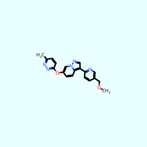 COCc1ccc(-c2cnn3cc(Oc4ccc(C)nn4)ccc23)nc1